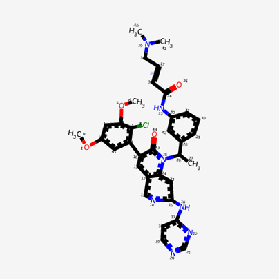 COc1cc(OC)c(Cl)c(-c2cc3cnc(Nc4ccncn4)cc3n(C(C)c3cccc(NC(=O)/C=C/CN(C)C)c3)c2=O)c1